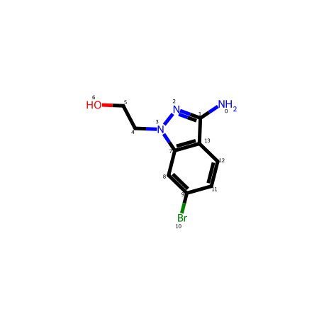 Nc1nn(CCO)c2cc(Br)ccc12